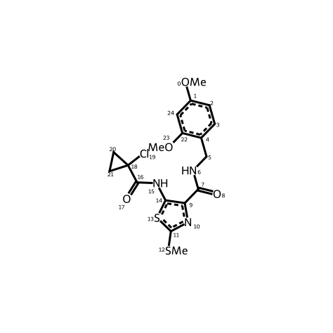 COc1ccc(CNC(=O)c2nc(SC)sc2NC(=O)C2(Cl)CC2)c(OC)c1